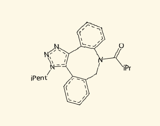 CCCC(C)n1nnc2c1-c1ccccc1CN(C(=O)C(C)C)c1ccccc1-2